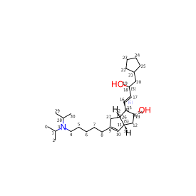 CC(C)N(CCCCCC1=C[C@H]2C[C@@H](O)[C@H](/C=C/[C@@H](O)CC3CCCC3)[C@H]2C1)C(C)C